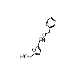 OCc1ccc(/C=N/OCc2ccccc2)o1